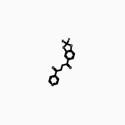 O=C(CCC(=O)c1ccc2c(c1)OC(F)(F)O2)c1ccncc1